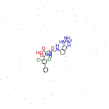 N=C(N)Nc1ccc2c(c1)C(NCC(=O)NCC(NC(=O)c1c(Cl)cc(-c3ccccc3)cc1Cl)C(=O)O)CCC2